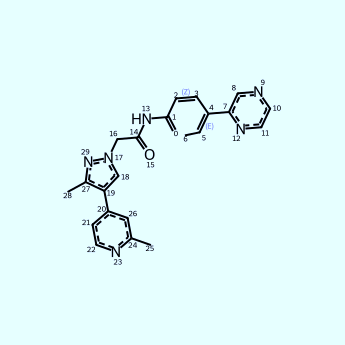 C=C(/C=C\C(=C/C)c1cnccn1)NC(=O)Cn1cc(-c2ccnc(C)c2)c(C)n1